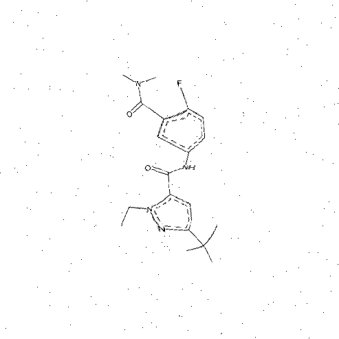 CCn1nc(C(C)(C)C)cc1C(=O)Nc1ccc(F)c(C(=O)N(C)C)c1